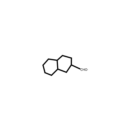 O=[C]C1CCC2CCCCC2C1